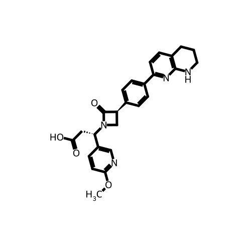 COc1ccc([C@H](CC(=O)O)N2C[C@H](c3ccc(-c4ccc5c(n4)NCCC5)cc3)C2=O)cn1